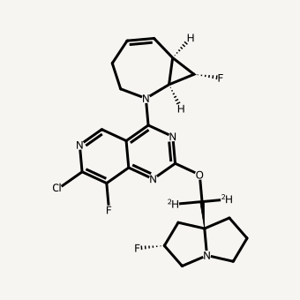 [2H]C([2H])(Oc1nc(N2CCC=C[C@H]3[C@H](F)[C@H]32)c2cnc(Cl)c(F)c2n1)[C@@]12CCCN1C[C@H](F)C2